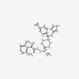 Cc1ncnc(C)c1C(=O)NCC[C@@H](C)N1CCC(N(Cc2ccsc2)c2ccc(O)cc2)CC1